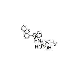 [CH2][C@@H]1C[C@@H](Nc2ccnc3cc(-c4cccc5c4sc4ccccc45)nn23)[C@H](O)[C@@H]1O